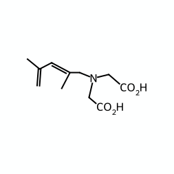 C=C(C)/C=C(\C)CN(CC(=O)O)CC(=O)O